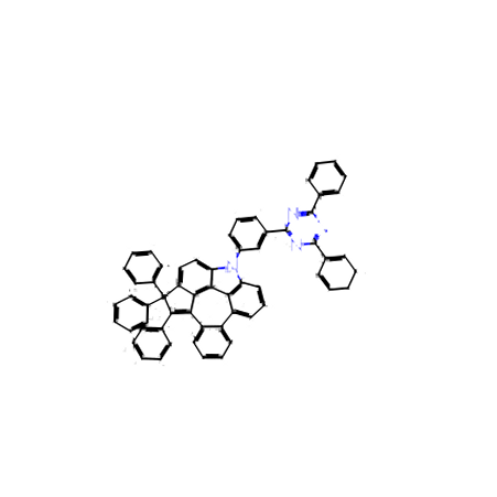 C1=CC(c2nc(-c3ccccc3)nc(-c3cccc(-n4c5cccc6c5c5c7c(ccc54)C(c4ccccc4)(c4ccccc4)C(c4ccccc4)=C7c4ccccc4-6)c3)n2)=CCC1